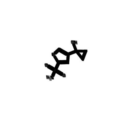 NS(=O)(=O)c1cc(C2(O)CC2)co1